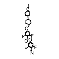 CCCC1CCC(C2CCC(COc3cc(F)c(C(=O)Oc4cc(F)c(C#N)c(F)c4)c(F)c3)CC2)CC1